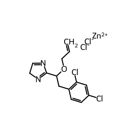 C=CCOC(Cc1ccc(Cl)cc1Cl)C1=NCC=N1.[Cl-].[Cl-].[Zn+2]